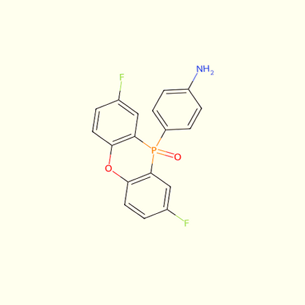 Nc1ccc(P2(=O)c3cc(F)ccc3Oc3ccc(F)cc32)cc1